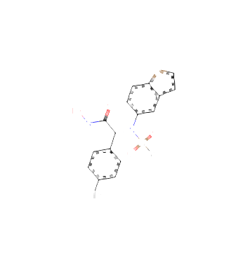 CC(C)c1ccc([C@H](C(=O)NO)N(c2ccc3sccc3c2)S(C)(=O)=O)cc1